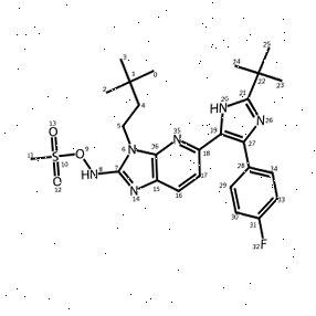 CC(C)(C)CCn1c(NOS(C)(=O)=O)nc2ccc(-c3[nH]c(C(C)(C)C)nc3-c3ccc(F)cc3)nc21